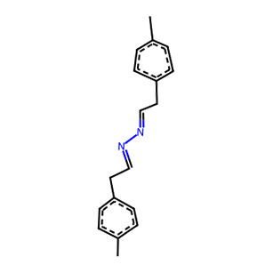 Cc1ccc(C/C=N/N=C/Cc2ccc(C)cc2)cc1